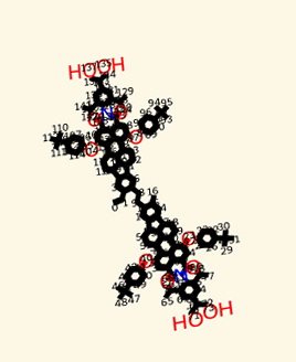 C=Cc1cc2c(cc1CCc1cc3c(cc1C)-c1ccc4c5c(Oc6ccc(C(C)(C)C)cc6)cc6c7c(cc(Oc8ccc(C(C)(C)C)cc8)c(c8ccc-3c1c48)c75)C(=O)N(c1c(C(C)C)cc(C(CO)CO)cc1C(C)C)C6=O)-c1ccc3c4c(Oc5ccc(C(C)(C)C)cc5)cc5c6c(cc(Oc7ccc(C(C)(C)C)cc7)c(c7ccc-2c1c73)c64)C(=O)N(c1c(C(C)C)cc(C(CO)CO)cc1C(C)C)C5=O